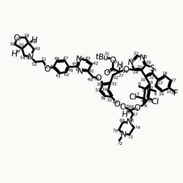 Cc1c(Cl)c2c(Cl)c(C)c1-c1c(-c3ccc(F)cc3)sc3ncnc(c13)O[C@@H](C(=O)OC(C)(C)C)Cc1cc(ccc1OCc1ccnc(-c3ccc(OCCN4C[C@H]5COC[C@H]5C4)cc3)n1)OC[C@@H](CN1CCN(C)CC1)O2